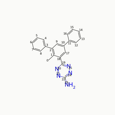 Cc1c(-c2ccccc2)cc(-c2ccccc2)cc1-c1nnc(N)nn1